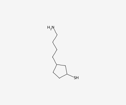 NCCCCC1CCC(S)C1